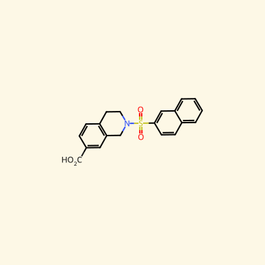 O=C(O)c1ccc2c(c1)CN(S(=O)(=O)c1ccc3ccccc3c1)CC2